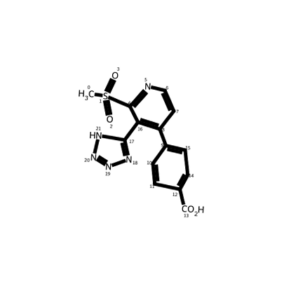 CS(=O)(=O)c1nccc(-c2ccc(C(=O)O)cc2)c1-c1nnn[nH]1